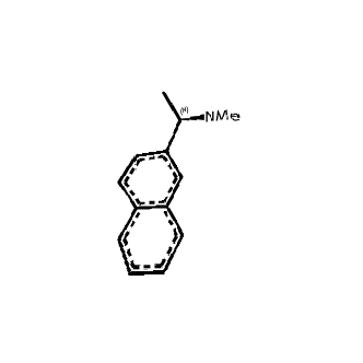 [CH2-][NH2+][C@H](C)c1ccc2ccccc2c1